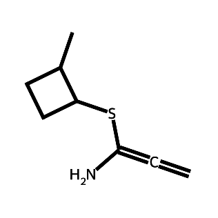 C=C=C(N)SC1CCC1C